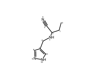 CCC(C#N)NCc1cn[nH]c1